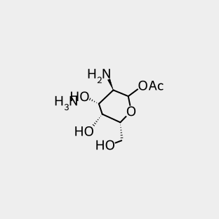 CC(=O)OC1O[C@H](CO)[C@H](O)[C@H](O)[C@H]1N.N